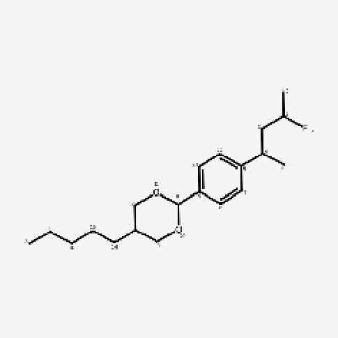 [CH2]C(F)CC(C)c1ccc(C2OCC(CCCCC)CO2)cc1